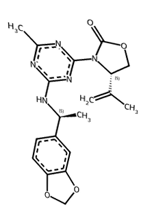 C=C(C)[C@H]1COC(=O)N1c1nc(C)nc(N[C@@H](C)c2ccc3c(c2)OCO3)n1